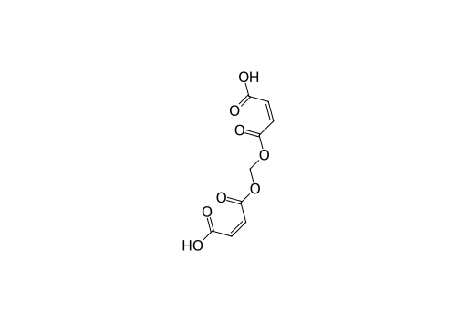 O=C(O)/C=C\C(=O)OCOC(=O)/C=C\C(=O)O